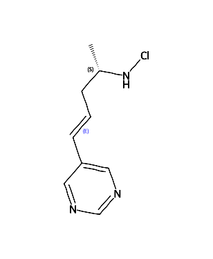 C[C@@H](C/C=C/c1cncnc1)NCl